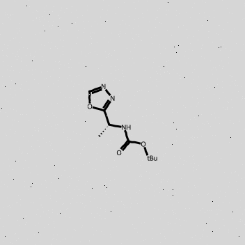 C[C@@H](NC(=O)OC(C)(C)C)c1nnco1